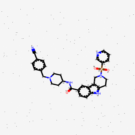 N#Cc1ccc(CN2CCC(NC(=O)c3ccc4[nH]c5c(c4c3)CN(S(=O)(=O)c3cccnc3)CC5)CC2)cc1